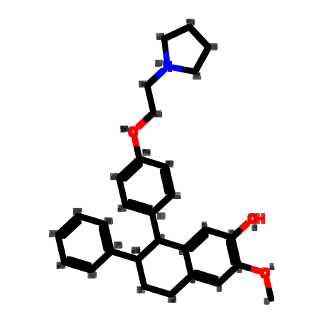 COc1cc2c(cc1O)C(c1ccc(OCCN3CCCC3)cc1)C(c1ccccc1)CC2